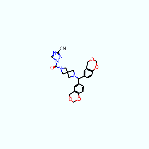 N#Cc1ncn(C(=O)N2CC3(C2)CN(C(c2ccc4c(c2)COCO4)c2ccc4c(c2)COCO4)C3)n1